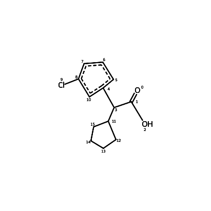 O=C(O)C(c1cccc(Cl)c1)C1CCCC1